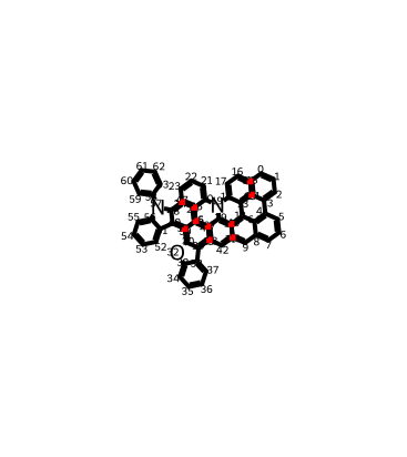 c1ccc(-c2cccc3cccc(-c4ccccc4N(c4ccccc4-c4ccc5c(c4)oc4ccccc45)c4ccccc4-c4ccc5c(c4)c4ccccc4n5-c4ccccc4)c23)cc1